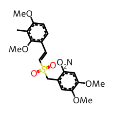 COc1cc(CS(=O)(=O)C=Cc2ccc(OC)c(C)c2OC)c([N+](=O)[O-])cc1OC